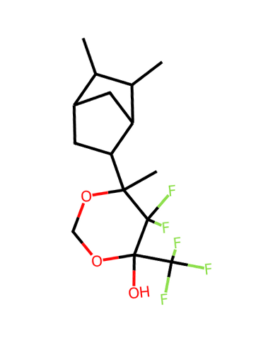 CC1C2CC(C1C)C(C1(C)OCOC(O)(C(F)(F)F)C1(F)F)C2